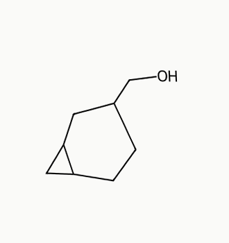 OCC1CCC2CC2C1